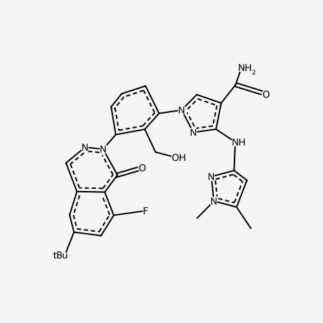 Cc1cc(Nc2nn(-c3cccc(-n4ncc5cc(C(C)(C)C)cc(F)c5c4=O)c3CO)cc2C(N)=O)nn1C